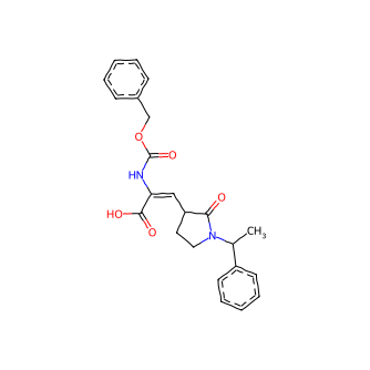 CC(c1ccccc1)N1CCC(/C=C(/NC(=O)OCc2ccccc2)C(=O)O)C1=O